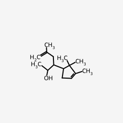 C=C(C)CC(C(C)O)C1CC=C(C)C1(C)C